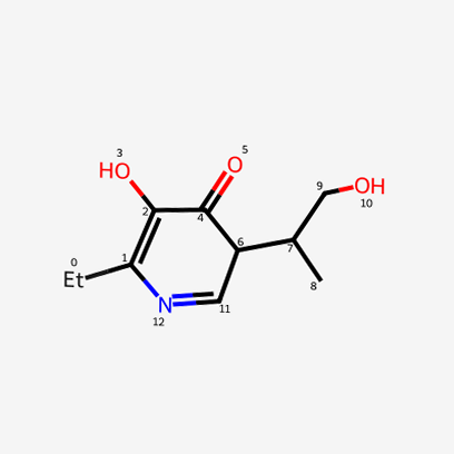 CCC1=C(O)C(=O)C(C(C)CO)C=N1